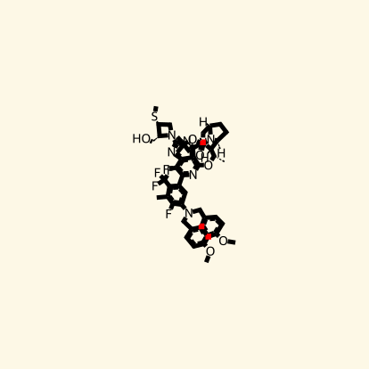 COc1ccc(CN(Cc2ccc(OC)cc2)c2cc(-c3nc4c5c(nc(N6C[C@@H](SC)[C@H]6CO)nc5c3F)N3C[C@H]5CC[C@@H]([C@H]3[C@H](C)O4)N5C(=O)OC(C)(C)C)c(C(F)(F)F)c(C)c2F)cc1